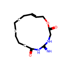 N=C1NCC(=O)OC/C=C/CCCCCCCC(=O)N1